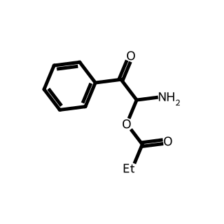 CCC(=O)OC(N)C(=O)c1ccccc1